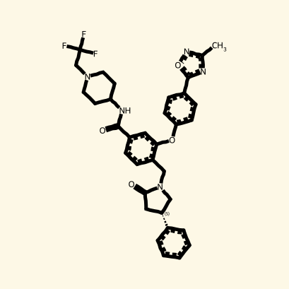 Cc1noc(-c2ccc(Oc3cc(C(=O)NC4CCN(CC(F)(F)F)CC4)ccc3CN3C[C@H](c4ccccc4)CC3=O)cc2)n1